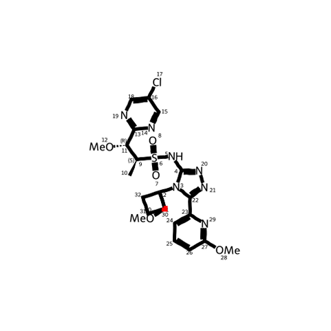 COCC1(n2c(NS(=O)(=O)[C@@H](C)[C@H](OC)c3ncc(Cl)cn3)nnc2-c2cccc(OC)n2)CCC1